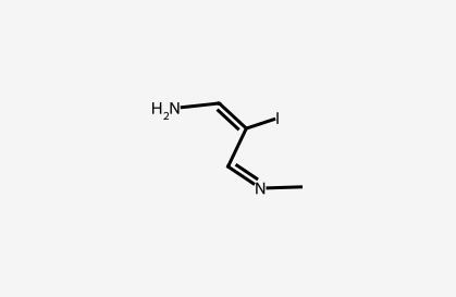 C/N=C\C(I)=C/N